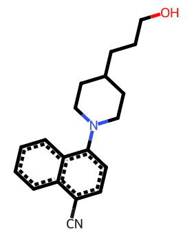 N#Cc1ccc(N2CCC(CCCO)CC2)c2ccccc12